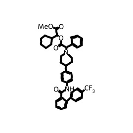 COC(=O)C(OC(=O)C(c1ccccc1)N1CCC(c2ccc(NC(=O)c3ccccc3-c3ccc(C(F)(F)F)cc3)cc2)CC1)C1CCCCC1